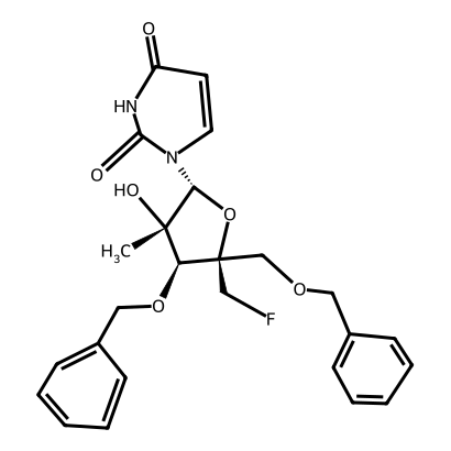 C[C@]1(O)[C@H](OCc2ccccc2)[C@@](CF)(COCc2ccccc2)O[C@H]1n1ccc(=O)[nH]c1=O